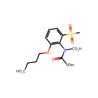 CCCCCCCCCCC(=O)N(C(=O)O)c1c(OCCCC(=O)O)cccc1S(C)(=O)=O